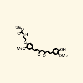 COc1cc(/C=C/C(=O)CC(=O)/C=C/c2ccc(OCCNC(=O)OC(C)(C)C)c(OC)c2)ccc1O